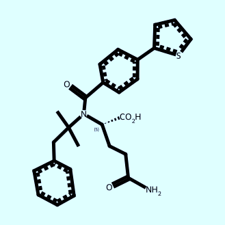 CC(C)(Cc1ccccc1)N(C(=O)c1ccc(-c2cccs2)cc1)[C@@H](CCC(N)=O)C(=O)O